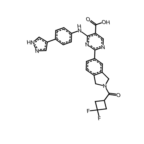 O=C(O)c1cnc(-c2ccc3c(c2)CN(C(=O)C2CC(F)(F)C2)C3)nc1Nc1ccc(-c2cn[nH]c2)cc1